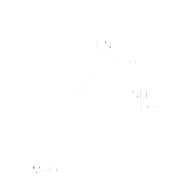 COc1ccc(-c2cc(NO)c(C(=O)NC3CC3)c(=O)o2)cc1